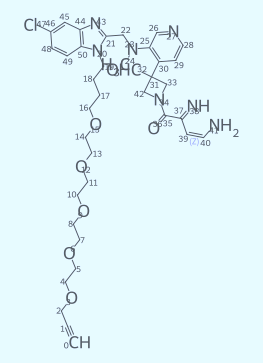 C#CCOCCOCCOCCOCCOCCCCn1c(CN(C)c2cnccc2C2(C=O)CN(C(=O)C(=N)/C=C\N)C2)nc2cc(Cl)ccc21